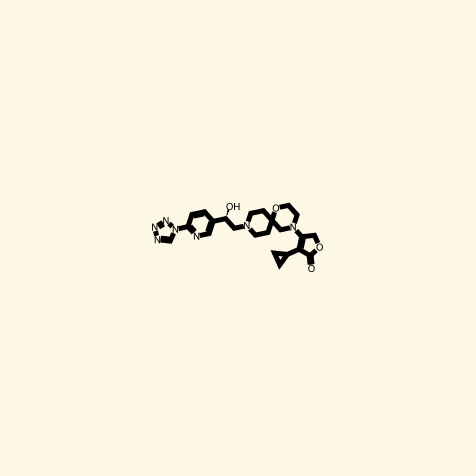 O=C1OCC(N2CCOC3(CCN(C[C@@H](O)c4ccc(-n5cnnn5)nc4)CC3)C2)=C1C1CC1